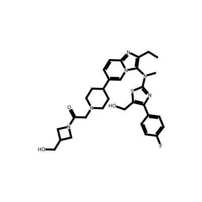 CCc1nc2ccc(C3CCN(CC(=O)N4CC(CO)C4)CC3)cn2c1N(C)c1nc(-c2ccc(F)cc2)c(CO)s1